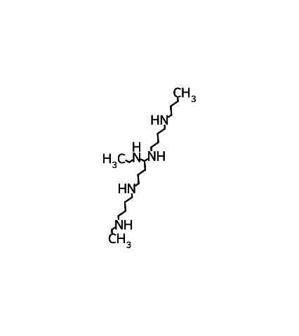 CCCCNCCCCNC(CCCNCCCCNCC)NCC